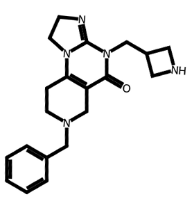 O=C1C2=C(CCN(Cc3ccccc3)C2)N2CCN=C2N1CC1CNC1